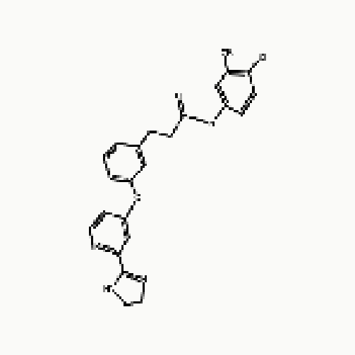 O=C(CCc1cccc(Oc2ccnc(C3=NCCN3)c2)c1)Nc1ccc(Cl)c(C(F)(F)F)c1